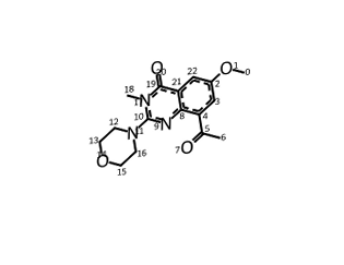 COc1cc(C(C)=O)c2nc(N3CCOCC3)n(C)c(=O)c2c1